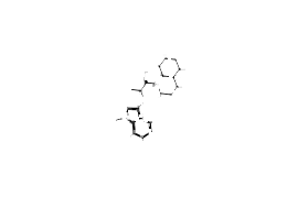 CC(Oc1cn(C)c2ccccc12)C(=O)N1CCCC2CCCCC21